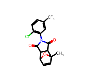 CC12C=CC(O1)C1C(=O)N(c3cc(C(F)(F)F)ccc3Cl)C(=O)C12